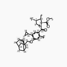 COC(=O)[C@@H]1C(C)[C@H](F)CN1C(=O)c1cc(C2CC2)c(OCC23CC4CC(CC(C4)C2)C3)cc1F